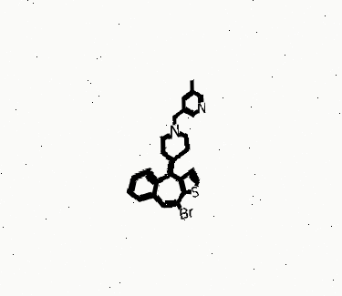 Cc1cncc(CN2CCC(=C3c4ccccc4C=C(Br)c4sccc43)CC2)c1